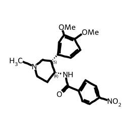 COc1ccc([C@H]2CN(C)CC[C@H]2NC(=O)c2ccc([N+](=O)[O-])cc2)cc1OC